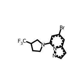 FC(F)(F)C1CCN(c2cc(Br)cc3ccnn23)C1